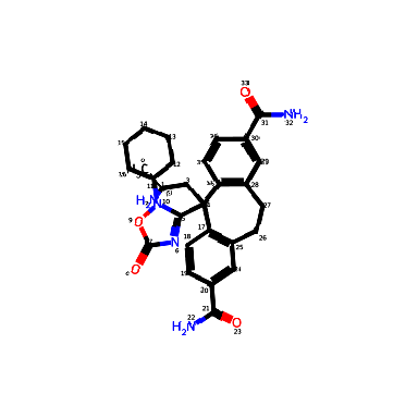 C[C@H](N)CC1(c2nc(=O)on2C2CCCCC2)c2ccc(C(N)=O)cc2CCc2cc(C(N)=O)ccc21